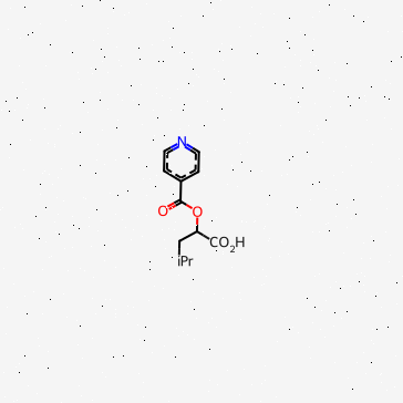 CC(C)CC(OC(=O)c1ccncc1)C(=O)O